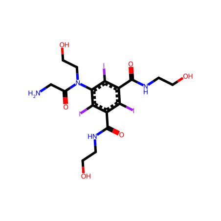 NCC(=O)N(CCO)c1c(I)c(C(=O)NCCO)c(I)c(C(=O)NCCO)c1I